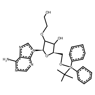 CC(C)(C)[Si](OC[C@H]1O[C@@H](n2cnc3c(N)ncnc32)C(OCCO)C1O)(c1ccccc1)c1ccccc1